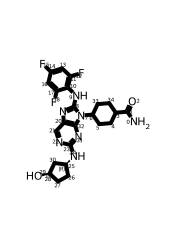 NC(=O)C1CCC(n2c(Nc3c(F)cc(F)cc3F)nc3cnc(N[C@@H]4CC[C@@H](O)C4)nc32)CC1